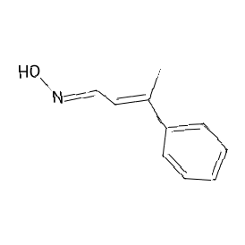 CC(=CC=NO)c1ccccc1